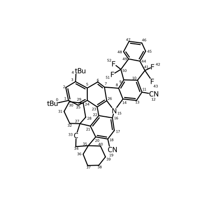 CC(C)(C)c1cc(C(C)(C)C)c2cc3c4c5c(c(C#N)cc4n4c6cc(C#N)c7c(c6c(c2c1)c34)C1(CCCCC1)CCC71CCCCC1)C(F)(F)c1ccccc1C5(F)F